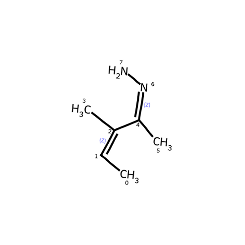 C/C=C(C)\C(C)=N/N